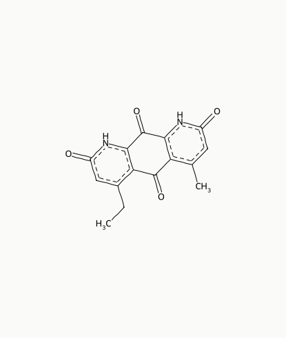 CCc1cc(=O)[nH]c2c1C(=O)c1c(C)cc(=O)[nH]c1C2=O